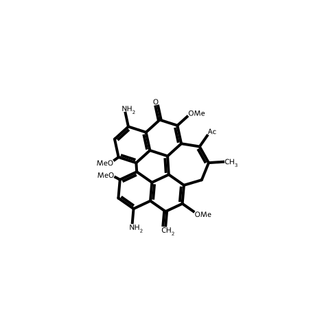 C=c1c(OC)c2c3c4c5c(c(N)cc(OC)c5c5c(OC)cc(N)c1c35)C(=O)C(OC)=C4C(C(C)=O)=C(C)C2